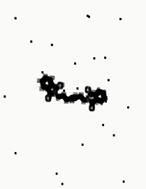 O=C1c2ccccc2C(=O)N1CCC#CCCCN1C(=O)c2ccccc2C1=O